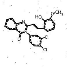 COc1cccc(/C=C/c2nc3ccccc3c(=O)n2-c2ccc(Cl)c(Cl)c2)c1O